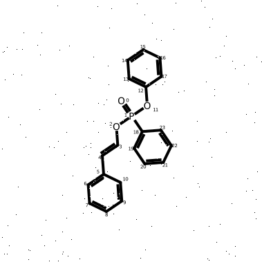 O=P(OC=Cc1ccccc1)(Oc1ccccc1)c1ccccc1